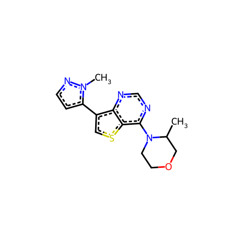 CC1COCCN1c1ncnc2c(-c3ccnn3C)csc12